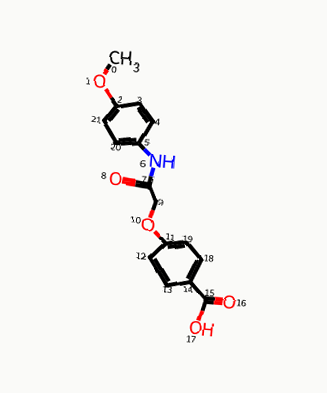 COc1ccc(NC(=O)COc2ccc(C(=O)O)cc2)cc1